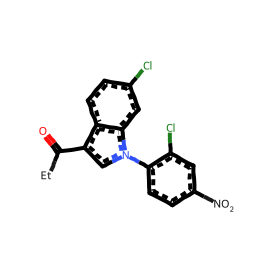 CCC(=O)c1cn(-c2ccc([N+](=O)[O-])cc2Cl)c2cc(Cl)ccc12